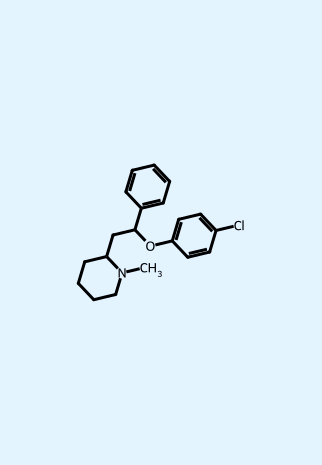 CN1CCCCC1CC(Oc1ccc(Cl)cc1)c1ccccc1